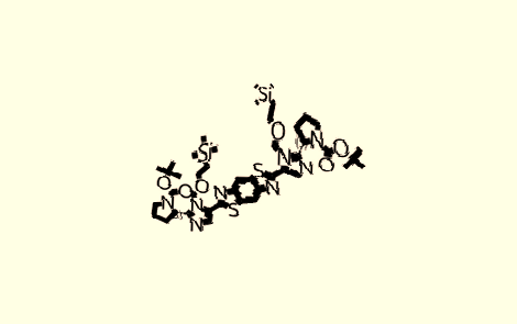 CC(C)(C)OC(=O)N1CCC[C@H]1c1ncc(-c2nc3cc4sc(-c5cnc([C@@H]6CCCN6C(=O)OC(C)(C)C)n5COCC[Si](C)(C)C)nc4cc3s2)n1COCC[Si](C)(C)C